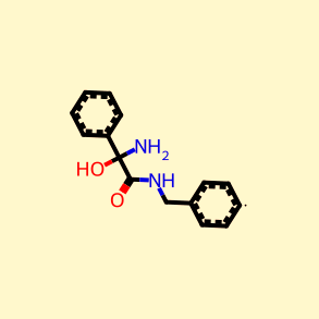 NC(O)(C(=O)NCc1cc[c]cc1)c1ccccc1